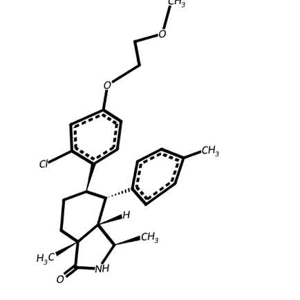 COCCOc1ccc([C@@H]2CC[C@@]3(C)C(=O)N[C@H](C)[C@H]3[C@H]2c2ccc(C)cc2)c(Cl)c1